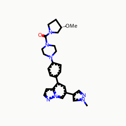 CO[C@H]1CCN(C(=O)N2CCN(c3ccc(-c4cc(-c5cnn(C)c5)cn5nccc45)cc3)CC2)C1